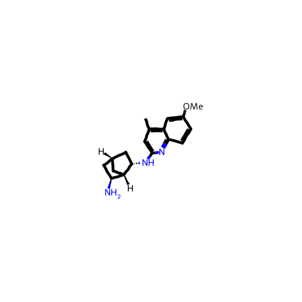 COc1ccc2nc(N[C@H]3C[C@@H]4C[C@H]3[C@@H](N)C4)cc(C)c2c1